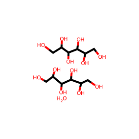 O.OCC(O)C(O)C(O)C(O)CO.OCC(O)C(O)C(O)C(O)CO